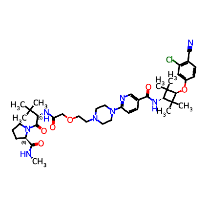 CNC(=O)[C@H]1CCCN1C(=O)[C@@H](NC(=O)COCCN1CCN(c2ccc(C(=O)N[C@H]3C(C)(C)[C@H](Oc4ccc(C#N)c(Cl)c4)C3(C)C)cn2)CC1)C(C)(C)C